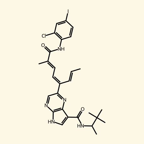 C/C=C/C(=C\C=C(/C)C(=O)Nc1ccc(I)cc1Cl)c1cnc2[nH]cc(C(=O)NC(C)C(C)(C)C)c2n1